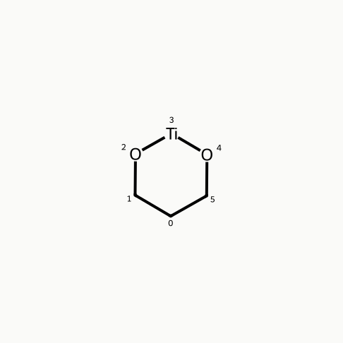 C1C[O][Ti][O]C1